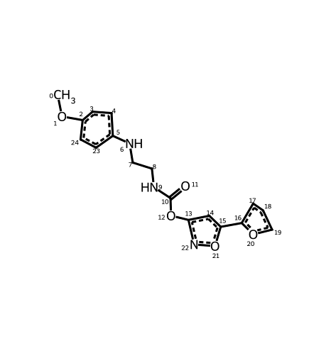 COc1ccc(NCCNC(=O)Oc2cc(-c3ccco3)on2)cc1